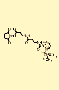 [13CH3][13CH]([13CH3])[13CH2]N1[13CH2][13CH2][13CH2][13CH]1C(=O)NCCC(=O)[15NH]CCC(=O)ON1C(=O)CCC1=O